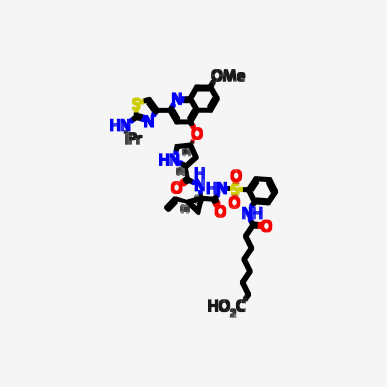 C=C[C@@H]1C[C@@]1(NC(=O)[C@@H]1C[C@@H](Oc2cc(-c3csc(NC(C)C)n3)nc3cc(OC)ccc23)CN1)C(=O)NS(=O)(=O)c1ccccc1NC(=O)CCCCCCC(=O)O